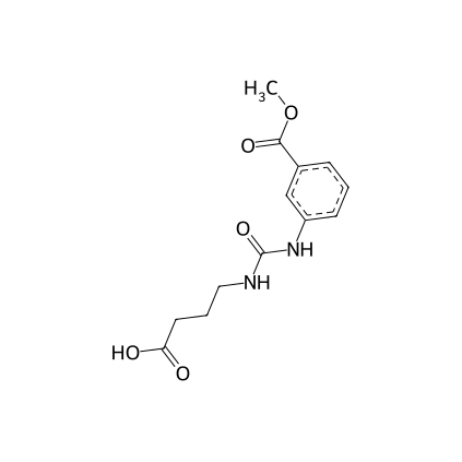 COC(=O)c1cccc(NC(=O)NCCCC(=O)O)c1